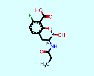 CCC(=O)N[C@H]1Cc2ccc(F)c(C(=O)O)c2OB1O